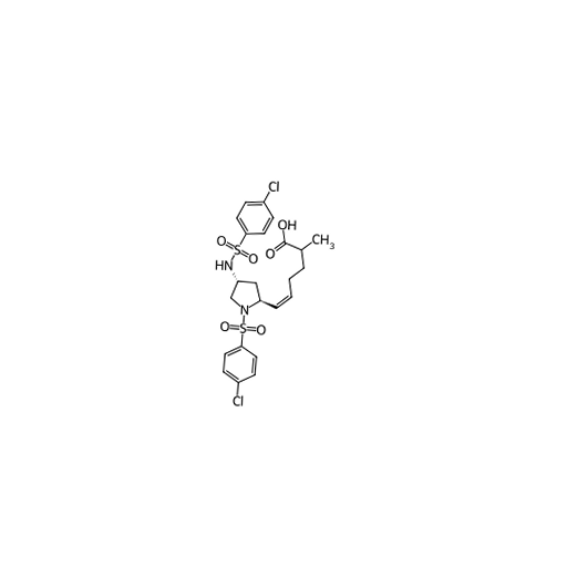 CC(CC/C=C\[C@@H]1C[C@@H](NS(=O)(=O)c2ccc(Cl)cc2)CN1S(=O)(=O)c1ccc(Cl)cc1)C(=O)O